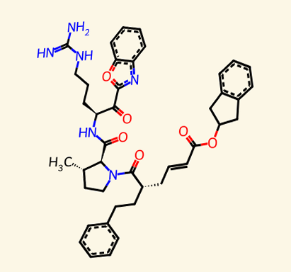 C[C@H]1CCN(C(=O)[C@H](C/C=C/C(=O)OC2Cc3ccccc3C2)CCc2ccccc2)[C@@H]1C(=O)N[C@@H](CCCNC(=N)N)C(=O)c1nc2ccccc2o1